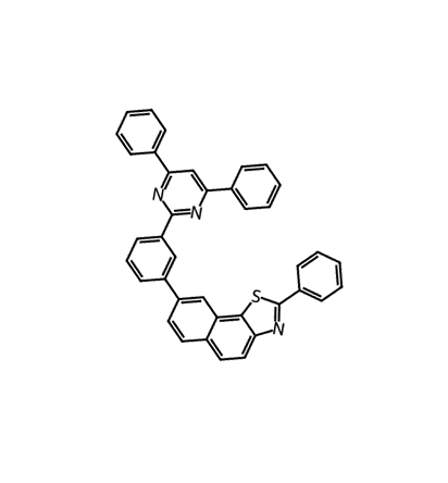 c1ccc(-c2cc(-c3ccccc3)nc(-c3cccc(-c4ccc5ccc6nc(-c7ccccc7)sc6c5c4)c3)n2)cc1